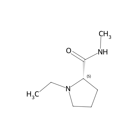 CCN1CCC[C@H]1C(=O)NC